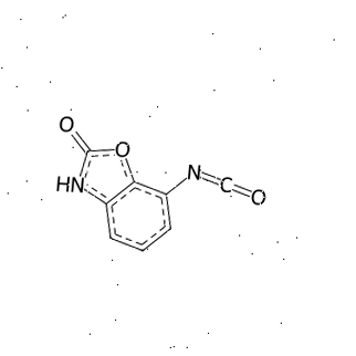 O=C=Nc1cccc2[nH]c(=O)oc12